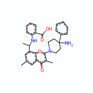 Cc1cc(C(C)Nc2ccccc2C(=O)O)c2oc(N3CCC(N)(c4ccccc4)CC3)c(C)c(=O)c2c1